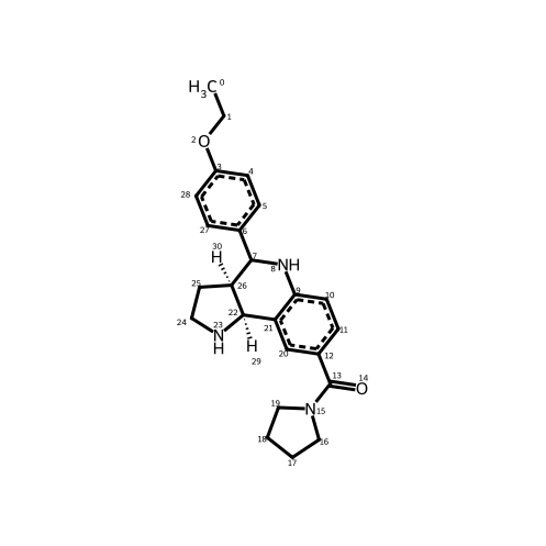 CCOc1ccc(C2Nc3ccc(C(=O)N4CCCC4)cc3[C@H]3NCC[C@@H]23)cc1